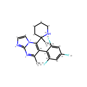 Cc1nc2nccn2c(C2(C)CCCCN2)c1-c1c(F)cc(F)cc1F